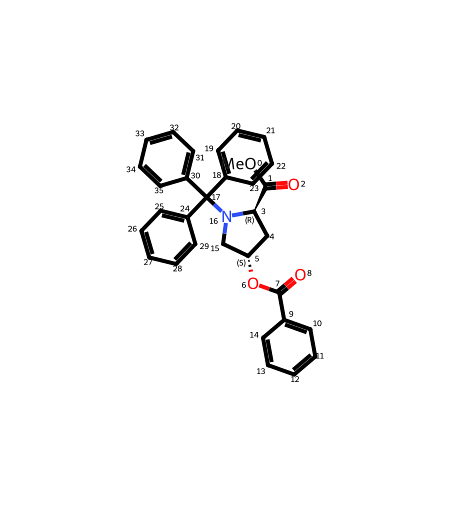 COC(=O)[C@H]1C[C@H](OC(=O)c2ccccc2)CN1C(c1ccccc1)(c1ccccc1)c1ccccc1